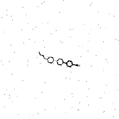 CCCC[C@H]1CC[C@H](C2CCC(c3ccc(C#N)cc3)CC2)CC1